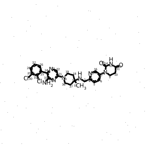 CC1(NCc2ccc(N3CCC(=O)NC3=O)cn2)CCN(c2cnc(-c3cccc(Cl)c3Cl)c(N)n2)CC1